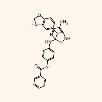 CC1=C2NOC(Nc3ccc(NC(=O)c4ccccc4)cc3)(N=C1)N2c1ccc2c(c1)NCO2